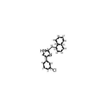 Clc1cccc(-c2c[nH]c(Cc3cccc4ccccc34)n2)c1